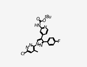 Cc1cc(Cl)nnc1-n1cc(-c2ccnc(NC(=O)OC(C)(C)C)c2)c(-c2ccc(F)cc2)n1